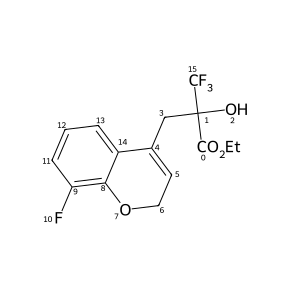 CCOC(=O)C(O)(CC1=CCOc2c(F)cccc21)C(F)(F)F